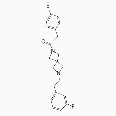 O=C(Cc1ccc(F)cc1)N1CC2(CN(CCc3cccc(F)c3)C2)C1